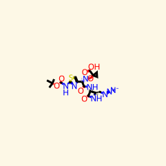 CC(C)(C)OC(=O)Nc1nc(/C(=N/OC2(C(=O)O)CC2)C(=O)N[C@@H]2C(=O)N[C@@H]2CN=[N+]=[N-])cs1